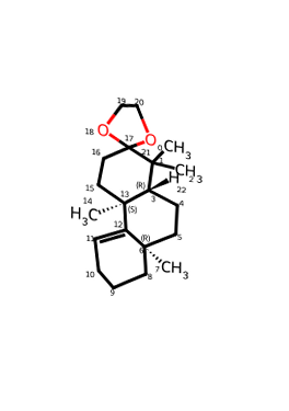 CC1(C)[C@@H]2CC[C@@]3(C)CCCC=C3[C@@]2(C)CCC12OCCO2